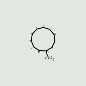 O=[N+]([O-])C1CCCCCCCCCC1